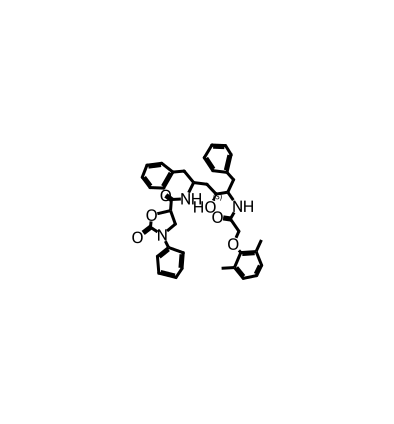 Cc1cccc(C)c1OCC(=O)NC(Cc1ccccc1)[C@@H](O)CC(Cc1ccccc1)NC(=O)C1CN(c2ccccc2)C(=O)O1